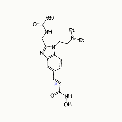 CCN(CC)CCn1c(CNC(=O)C(C)(C)C)nc2cc(/C=C/C(=O)NO)ccc21